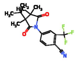 C=C(C)C1(C)C(=O)N(c2ccc(C#N)c(C(F)(F)F)c2)C(=O)C1(C)C